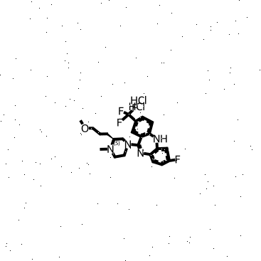 COCCC[C@H]1CN(C2=Nc3ccc(F)cc3Nc3ccc(C(F)(F)F)cc32)CCN1C.Cl.Cl